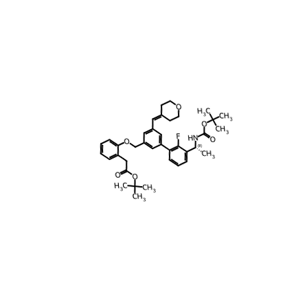 C[C@@H](NC(=O)OC(C)(C)C)c1cccc(-c2cc(C=C3CCOCC3)cc(COc3ccccc3CC(=O)OC(C)(C)C)c2)c1F